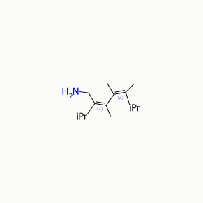 CC(/C(C)=C(\CN)C(C)C)=C(\C)C(C)C